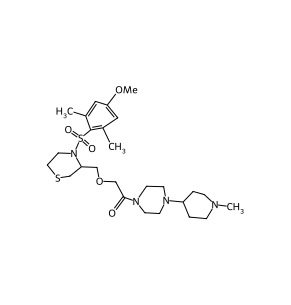 COc1cc(C)c(S(=O)(=O)N2CCSCC2COCC(=O)N2CCN(C3CCN(C)CC3)CC2)c(C)c1